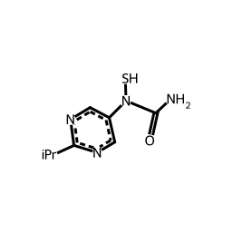 CC(C)c1ncc(N(S)C(N)=O)cn1